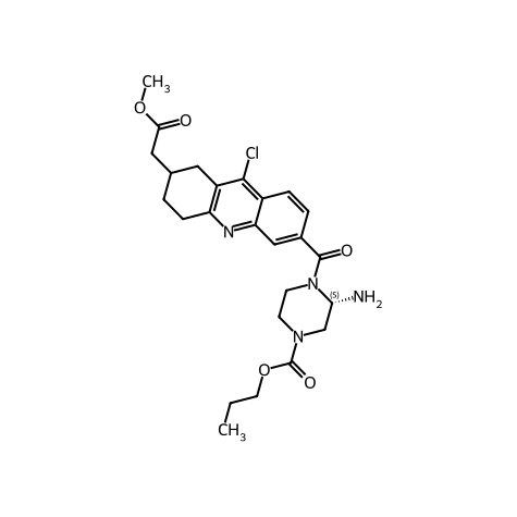 CCCOC(=O)N1CCN(C(=O)c2ccc3c(Cl)c4c(nc3c2)CCC(CC(=O)OC)C4)[C@H](N)C1